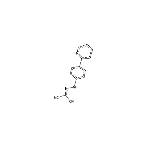 N#CC(C#N)=NNc1ccc(-c2ccccn2)cc1